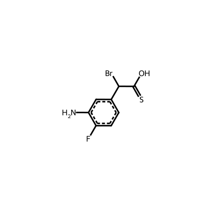 Nc1cc(C(Br)C(O)=S)ccc1F